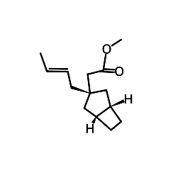 C/C=C/C[C@]1(CC(=O)OC)C[C@H]2CC[C@H]2C1